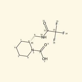 O=C(O)N1CCCC[C@@H]1CNC(=O)C(F)(F)F